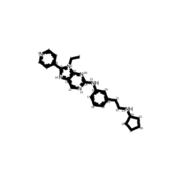 CCn1c(-c2ccncc2)nc2cnc(Nc3cccc(CCNC4CCCC4)c3)nc21